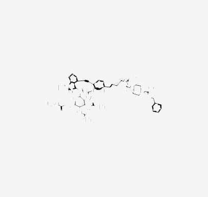 CC(C)N(C(=O)C/C=C/c1ccc(C#Cc2cccc3[nH]nc(O[C@@H]4O[C@H](COC(=O)C(C)(C)C)[C@@H](OC(=O)C(C)(C)C)[C@H](OC(=O)C(C)(C)C)[C@H]4OC(=O)C(C)(C)C)c23)cc1)C(=O)N1CCN(C(=O)OCc2ccccc2)CC1